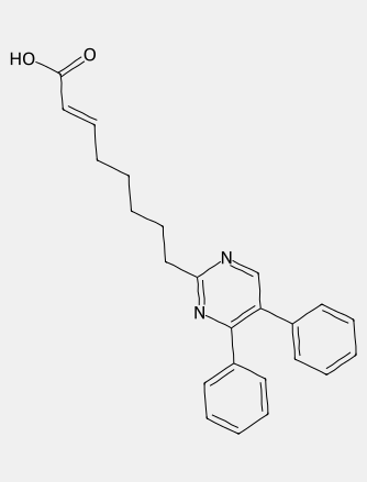 O=C(O)C=CCCCCCc1ncc(-c2ccccc2)c(-c2ccccc2)n1